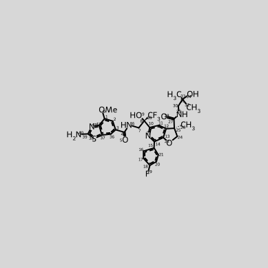 COc1cc(C(=O)NC[C@](O)(c2cc3c(c(-c4ccc(F)cc4)n2)OC[C@]3(C)C(=O)NCC(C)(C)O)C(F)(F)F)cc2sc(N)nc12